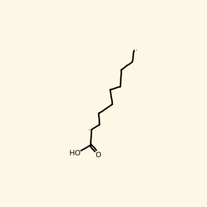 [CH2]CCCCCCC[CH]C(=O)O